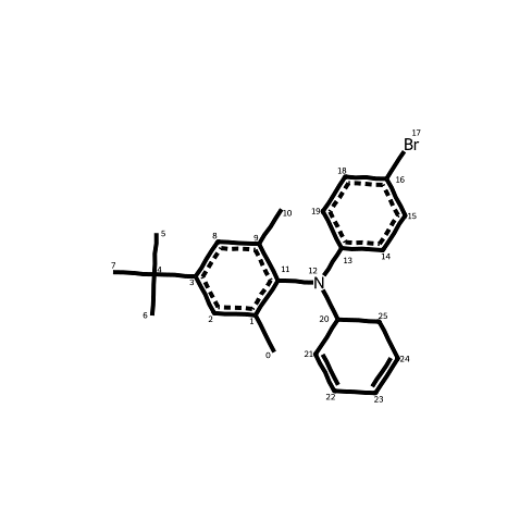 Cc1cc(C(C)(C)C)cc(C)c1N(c1ccc(Br)cc1)C1C=CC=CC1